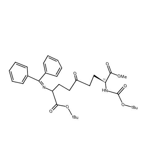 COC(=O)[C@H](CCC(=O)CCC(N=C(c1ccccc1)c1ccccc1)C(=O)OC(C)(C)C)NC(=O)OC(C)(C)C